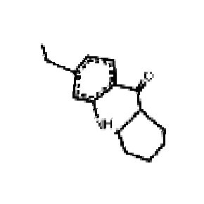 CCc1ccc(C(=O)C2CCCCC2)c(N)c1